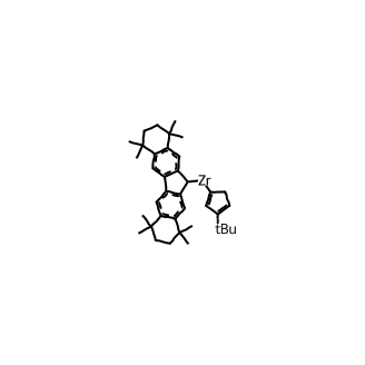 CC(C)(C)C1=CC[C]([Zr][CH]2c3cc4c(cc3-c3cc5c(cc32)C(C)(C)CCC5(C)C)C(C)(C)CCC4(C)C)=C1